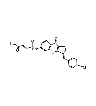 O=C(O)/C=C/C(=O)Nc1ccc2c(=O)c3c(oc2c1)/C(=C/c1ccc(Cl)cc1)CC3